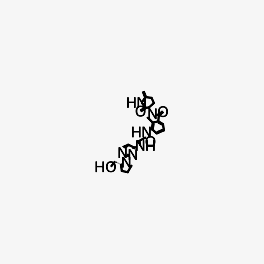 C=C1CCC(N2Cc3c(NC(=O)CNc4ccnc(N5CCC[C@@H]5CO)n4)cccc3C2=O)C(=O)N1